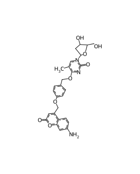 Cc1cn(C2CC(O)C(CO)O2)c(=O)nc1OCc1ccc(OCc2cc(=O)oc3cc(N)ccc23)cc1